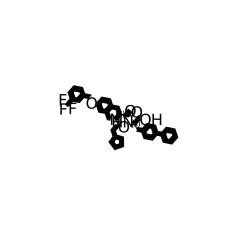 O=C(O)[C@H](Cc1ccc(-c2ccccc2)cc1)NC(=O)[C@@H]1Cc2ccc(OCc3cccc(C(F)(F)F)c3)cc2CN1C(=O)CC1CCCC1